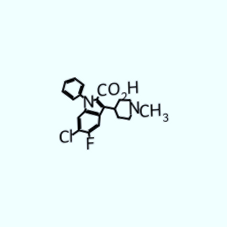 CN1CCC(c2c(C(=O)O)n(-c3ccccc3)c3cc(Cl)c(F)cc23)CC1